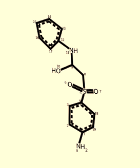 Nc1ccc(S(=O)(=O)CC(O)Nc2ccccc2)cc1